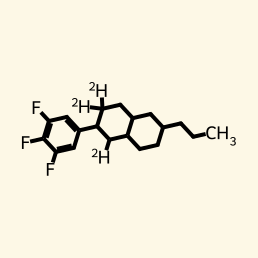 [2H]C1C2CCC(CCC)CC2CC([2H])([2H])C1c1cc(F)c(F)c(F)c1